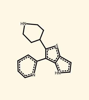 c1ccc(-c2c(C3CCNCC3)sc3cc[nH]c23)nc1